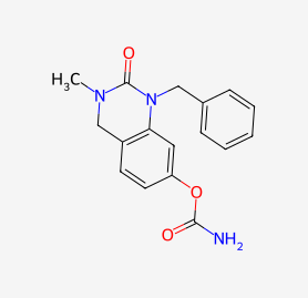 CN1Cc2ccc(OC(N)=O)cc2N(Cc2ccccc2)C1=O